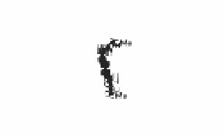 COC(=O)NCCC(=O)Pc1nc2ccc(-c3ccc4cc(-c5cnc(PC(=O)CNC(=O)OC)[nH]5)ccc4c3)cc2[nH]1